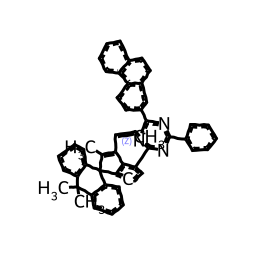 C/C=C\C1=C(C)C2(c3ccccc3C(C)(C)c3ccccc32)c2cccc(-c3nc(-c4ccccc4)nc(-c4ccc5c(ccc6ccccc65)c4)n3)c21